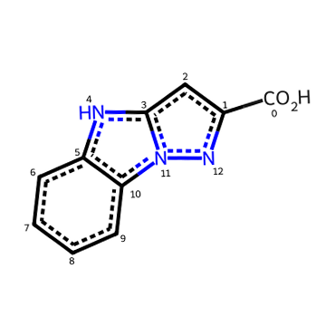 O=C(O)c1cc2[nH]c3ccccc3n2n1